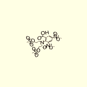 CS(=O)(=O)OCCN(CCOS(C)(=O)=O)c1c(C(=O)O)cc([N+](=O)[O-])cc1[N+](=O)[O-]